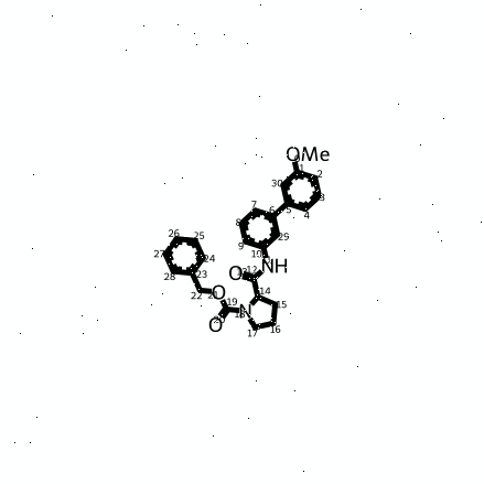 COc1cccc(-c2cccc(NC(=O)C3CCCN3C(=O)OCc3ccccc3)c2)c1